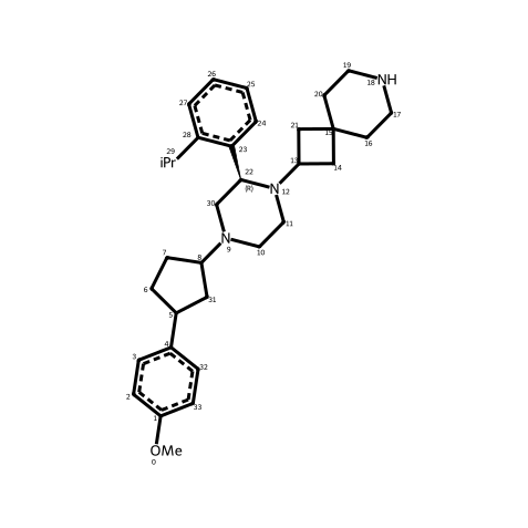 COc1ccc(C2CCC(N3CCN(C4CC5(CCNCC5)C4)[C@H](c4ccccc4C(C)C)C3)C2)cc1